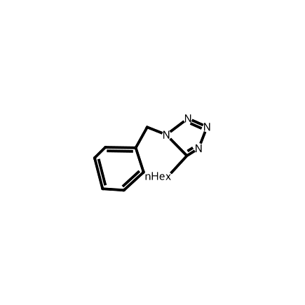 CCCCCCc1nnnn1Cc1ccccc1